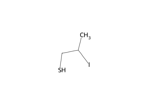 CC(I)CS